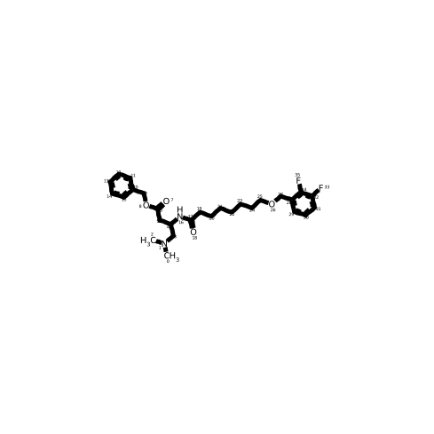 CN(C)CC(CC(=O)OCc1ccccc1)NC(=O)CCCCCCCOCc1cccc(F)c1F